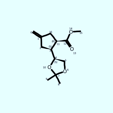 C=C1C[C@H]([C@H]2COC(C)(C)O2)[C@H](C(=O)OC)C1